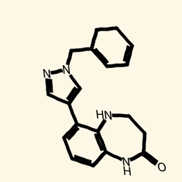 O=C1CCNc2c(cccc2-c2cnn(CC3=CC=CCC3)c2)N1